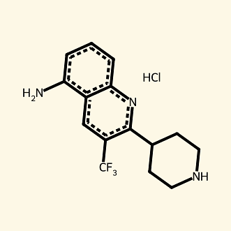 Cl.Nc1cccc2nc(C3CCNCC3)c(C(F)(F)F)cc12